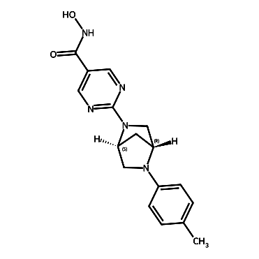 Cc1ccc(N2C[C@@H]3C[C@@H]2CN3c2ncc(C(=O)NO)cn2)cc1